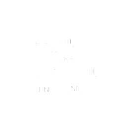 BC(N)CC1(CC(B)(B)B)CNC1